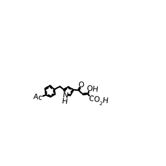 CC(=O)c1ccc(Cc2cc(C(=O)C=C(O)C(=O)O)c[nH]2)cc1